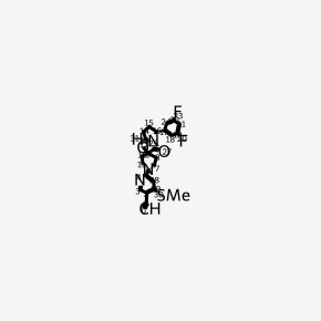 C#Cc1cnc(N2CCC3(CC2)O[C@@H]2CC[C@@H](c4cc(F)cc(F)c4)N2C3=O)cc1SC